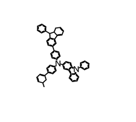 CC1C=CC=C(c2ccc(N(c3ccc(-c4ccc5c(c4)C4=CC=CCC4C5c4ccccc4)cc3)c3ccc4c(c3)c3ccccc3n4-c3ccccc3)cc2)C1